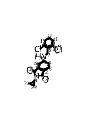 O=C1c2ccc(NCc3c(Cl)cccc3Cl)cc2C(=O)N1C1CC1